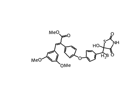 BC(c1ccc(Oc2ccc(/C(=C\c3cc(OC)cc(OC)c3)C(=O)OC)cc2)cc1)C1(O)SC(=O)NC1=O